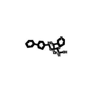 C[C@@](OCc1ccc(-c2ccccc2)cc1)(C(=O)NO)[C@@H](O)c1cccnc1